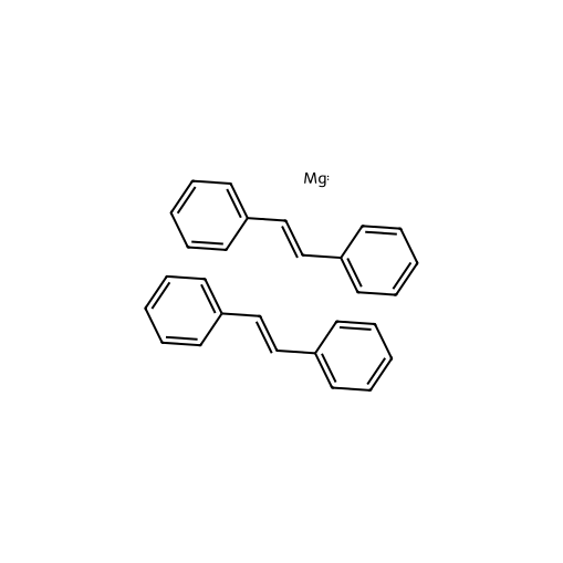 C(=Cc1ccccc1)c1ccccc1.C(=Cc1ccccc1)c1ccccc1.[Mg]